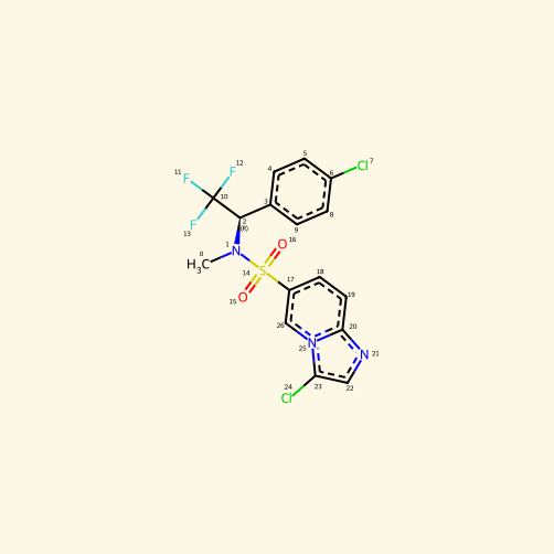 CN([C@H](c1ccc(Cl)cc1)C(F)(F)F)S(=O)(=O)c1ccc2ncc(Cl)n2c1